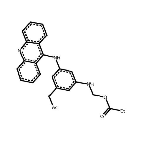 CCC(=O)OCNc1cc(CC(C)=O)cc(Nc2c3ccccc3nc3ccccc23)c1